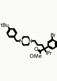 COC(=O)C(CCCN1CCN(Cc2ccc(C(C)(C)C)cc2)CC1)(c1cccc(Br)c1)C(C)C